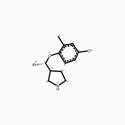 Cc1cc(Cl)ccc1O[C@@H](C(C)C)C1CCNC1